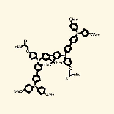 CCCCCCC1(CCCCCC)c2cc(N(C3=CCC(OCC(CC)CCCC)C=C3)c3ccc(-c4ccc(N(c5ccc(OC)cc5)c5ccc(OC)cc5)cc4)cc3)ccc2-c2ccc(N(c3ccc(OCC(CC)CCCC)cc3)c3ccc(-c4ccc(N(c5ccc(OC)cc5)c5ccc(OC)cc5)cc4)cc3)cc21